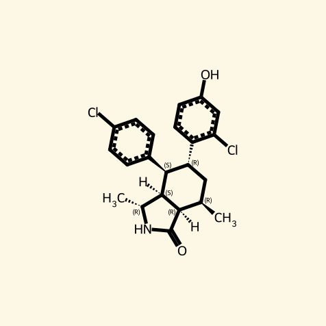 C[C@@H]1C[C@@H](c2ccc(O)cc2Cl)[C@H](c2ccc(Cl)cc2)[C@H]2[C@@H]1C(=O)N[C@@H]2C